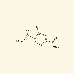 COC(=O)c1ccc(/C(N)=N/O)c(Cl)c1